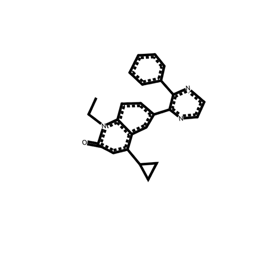 CCn1c(=O)cc(C2CC2)c2cc(-c3nccnc3-c3ccccc3)ccc21